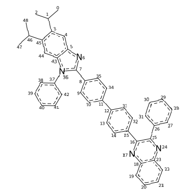 CC(C)c1cc2nc(-c3ccc(-c4ccc(-c5nc6ccccc6nc5-c5ccccc5)cc4)cc3)n(-c3ccccc3)c2cc1C(C)C